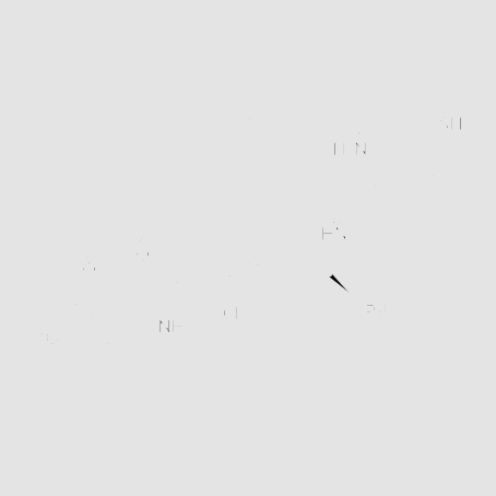 CC[C@H](C)C(CSC(C)(Cc1ccccc1)C(=O)N[C@@H]1CCOC1=O)NCC(N)CS